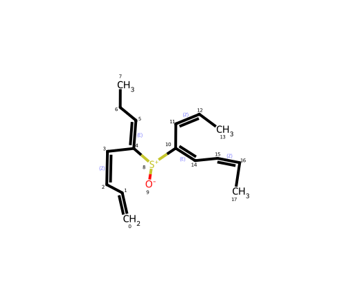 C=C/C=C\C(=C/CC)[S+]([O-])C(/C=C\C)=C/C=C\C